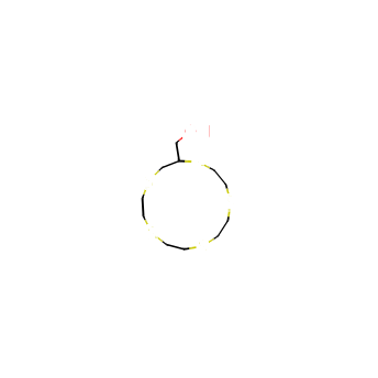 OCC1CSCCSCCSCCSCCS1